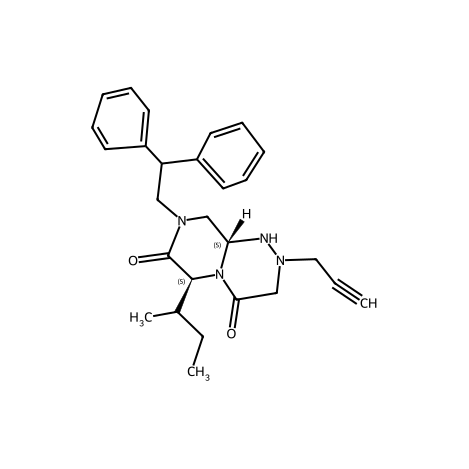 C#CCN1CC(=O)N2[C@H](CN(CC(c3ccccc3)c3ccccc3)C(=O)[C@@H]2C(C)CC)N1